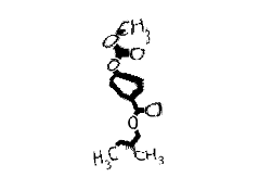 CC[C@@H](C)COC(=O)c1ccc(OC(=O)OC)cc1